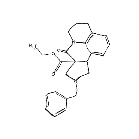 CCOC(=O)C12CN(Cc3ccccc3)CC1c1cccc3c1N(CCC3)C2=O